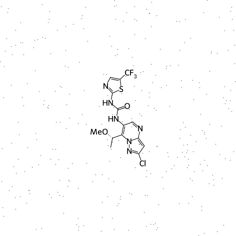 CO[C@@H](C)c1c(NC(=O)Nc2ncc(C(F)(F)F)s2)cnc2cc(Cl)nn12